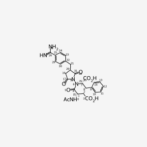 CC(=O)N[C@@H](CC(=O)O)C(=O)N([C@@H](Cc1ccccc1)C(=O)O)N1C(=O)CC(Cc2ccc(C(=N)N)cc2)C1=O